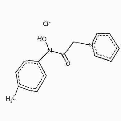 Cc1ccc(N(O)C(=O)C[n+]2ccccc2)cc1.[Cl-]